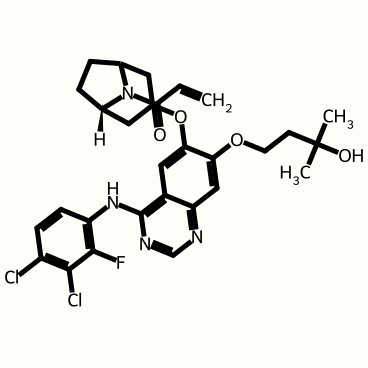 C=CC(=O)N1C2CC[C@H]1CC(Oc1cc3c(Nc4ccc(Cl)c(Cl)c4F)ncnc3cc1OCCC(C)(C)O)C2